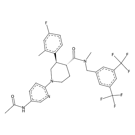 CC(=O)Nc1ccc(N2CC[C@@H](C(=O)N(C)Cc3cc(C(F)(F)F)cc(C(F)(F)F)c3)[C@H](c3ccc(F)cc3C)C2)nc1